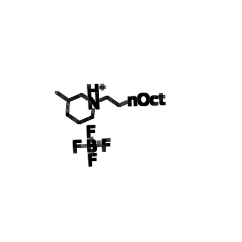 CCCCCCCCCC[NH+]1CCCC(C)C1.F[B-](F)(F)F